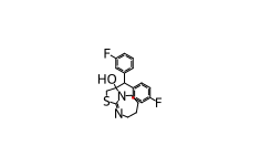 OC1(C(c2ccc(F)cc2)c2cccc(F)c2)CSC2=NCCCCN21